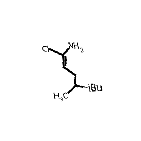 CC[C@H](C)C(C)C/C=C(\N)Cl